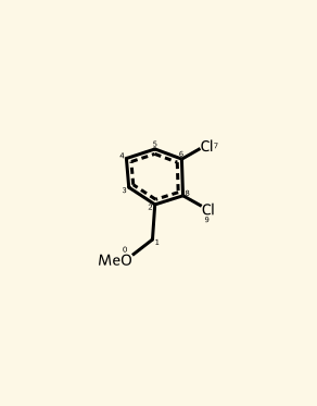 [CH2]OCc1cccc(Cl)c1Cl